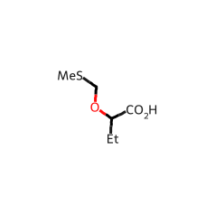 CCC(OCSC)C(=O)O